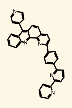 c1ccc(-c2cccc(-c3ccc(-c4ccc5ccc6c(-c7ccncc7)c7ccccc7nc6c5n4)cc3)n2)nc1